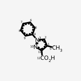 Cc1cn(-c2ccccc2)nc1C(=O)O